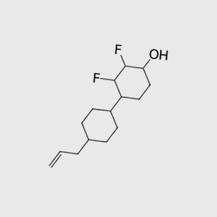 C=CCC1CCC(C2CCC(O)C(F)C2F)CC1